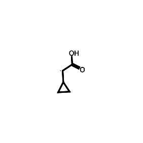 O=C(O)[CH]C1CC1